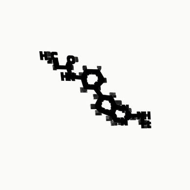 C=CC(=O)Nc1cccc(-c2ccc3cnc(NCC)nc3c2)c1